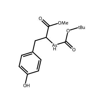 COC(=O)C(Cc1ccc(O)cc1)[AsH]C(=O)OC(C)(C)C